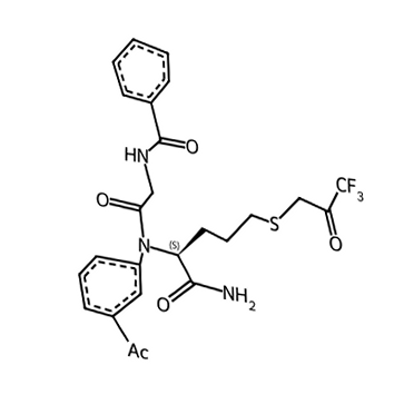 CC(=O)c1cccc(N(C(=O)CNC(=O)c2ccccc2)[C@@H](CCCSCC(=O)C(F)(F)F)C(N)=O)c1